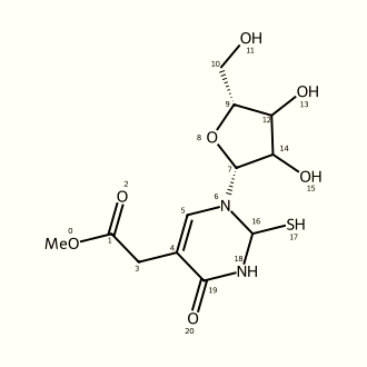 COC(=O)CC1=CN([C@@H]2O[C@H](CO)C(O)C2O)C(S)NC1=O